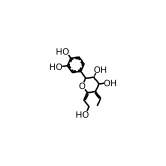 C/C=C1\C(=C/CO)OC(c2ccc(O)c(O)c2)[C@@H](O)C1O